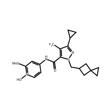 CSc1cc(NC(=O)c2c(C(F)(F)F)c(C3CC3)nn2CC2CC3(CC3)C2)cc[n+]1O